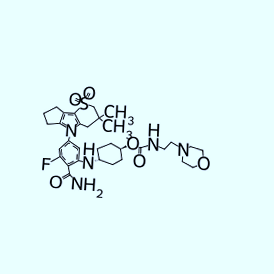 CC1(C)Cc2c(c3c(n2-c2cc(F)c(C(N)=O)c(N[C@H]4CC[C@H](OC(=O)NCCN5CCOCC5)CC4)c2)CCC3)S(=O)(=O)C1